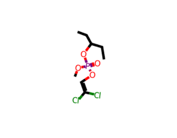 CCC(CC)OP(=O)(OC)OC=C(Cl)Cl